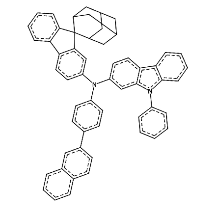 c1ccc(-n2c3ccccc3c3ccc(N(c4ccc(-c5ccc6ccccc6c5)cc4)c4ccc5c(c4)C4(c6ccccc6-5)C5CC6CC(C5)CC4C6)cc32)cc1